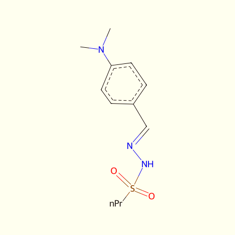 CCCS(=O)(=O)NN=Cc1ccc(N(C)C)cc1